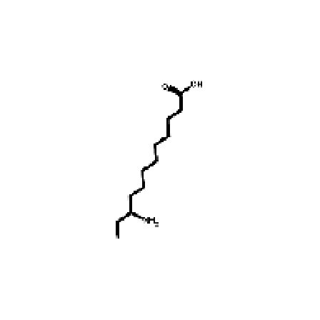 CCC(N)CCCCCCCCC(=O)O